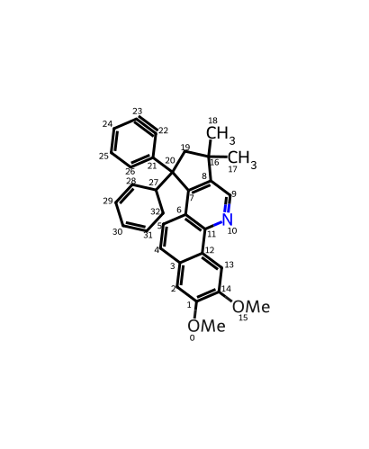 COc1cc2ccc3c4c(cnc3c2cc1OC)C(C)(C)CC4(c1c#cccc1)C1C=CC=CC1